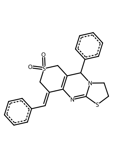 O=S1(=O)CC(=Cc2ccccc2)C2=C(C1)C(c1ccccc1)N1CCSC1=N2